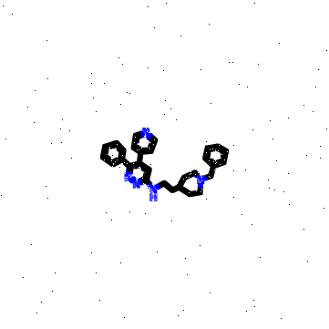 c1ccc(CN2CCC(CCNc3cc(-c4ccncc4)c(-c4ccccc4)nn3)CC2)cc1